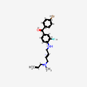 C=CCN(C)C/C=C/CNc1ccc(C(=O)c2ccc(Br)cc2)cc1F